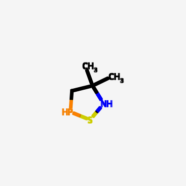 CC1(C)CPSN1